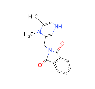 CC1=CNC=C(CN2C(=O)c3ccccc3C2=O)N1C